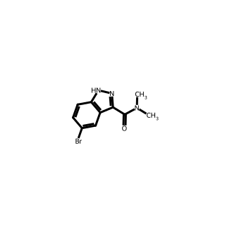 CN(C)C(=O)c1n[nH]c2ccc(Br)cc12